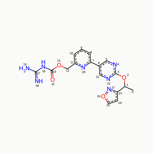 CC(Oc1ncc(-c2cccc(COC(=O)NC(=N)N)n2)cn1)c1ccon1